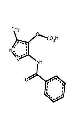 Cc1nsc(NC(=O)c2ccccc2)c1OC(=O)O